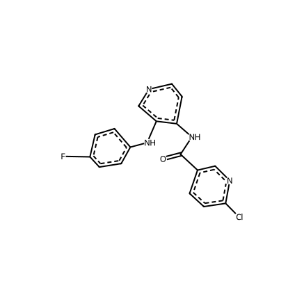 O=C(Nc1ccncc1Nc1ccc(F)cc1)c1ccc(Cl)nc1